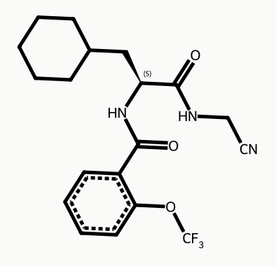 N#CCNC(=O)[C@H](CC1CCCCC1)NC(=O)c1ccccc1OC(F)(F)F